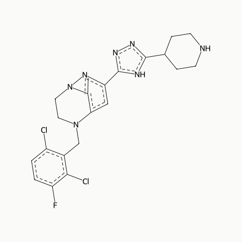 Fc1ccc(Cl)c(CN2CCN3c4c2cc(-c2nnc(C5CCNCC5)[nH]2)n43)c1Cl